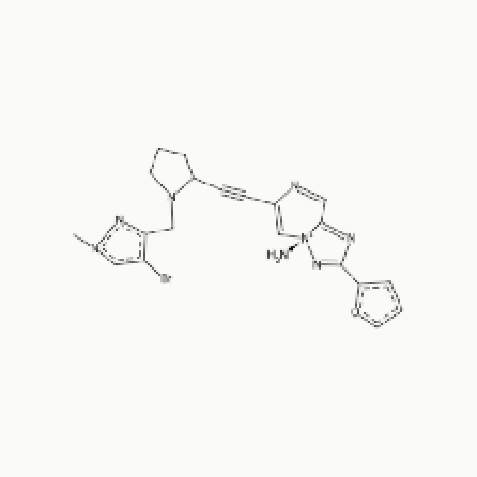 Cn1cc(Br)c(CN2CCCC2C#CC2=C[N@@+]3(N)N=C(c4ccco4)N=C3C=N2)n1